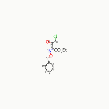 CCOC(=O)/C(=N\OCc1ccccc1)C(=O)CCl